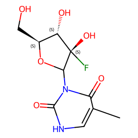 Cc1c[nH]c(=O)n(C2O[C@@H](CO)[C@H](O)[C@]2(O)F)c1=O